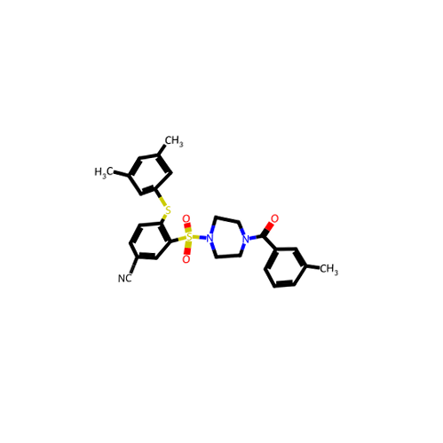 Cc1cc(C)cc(Sc2ccc(C#N)cc2S(=O)(=O)N2CCN(C(=O)c3cccc(C)c3)CC2)c1